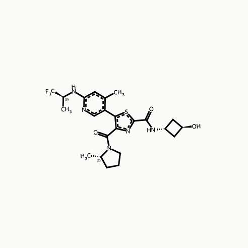 Cc1cc(N[C@@H](C)C(F)(F)F)ncc1-c1sc(C(=O)N[C@H]2C[C@H](O)C2)nc1C(=O)N1CCC[C@@H]1C